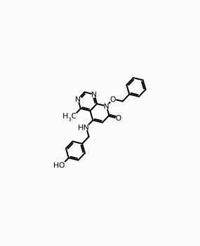 Cc1ncnc2c1c(NCc1ccc(O)cc1)cc(=O)n2OCc1ccccc1